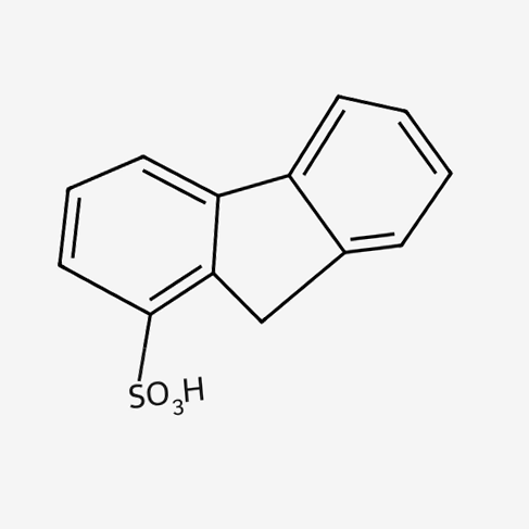 O=S(=O)(O)c1cccc2c1Cc1ccccc1-2